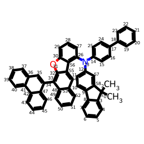 CC1(C)c2ccccc2-c2ccc(N(c3ccc(-c4ccccc4)cc3)c3cccc4oc5c(-c6cc7ccccc7c7ccccc67)c6ccccc6cc5c34)cc21